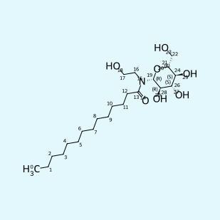 CCCCCCCCCCCCCC(=O)N(CCO)[C@@H]1O[C@H](CO)[C@@H](O)[C@H](O)[C@H]1O